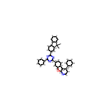 CC1(C)c2ccccc2-c2ccc(-c3nc(-c4ccccc4)nc(-c4ccc5c(c4)oc4nccc(-c6ccccc6)c45)n3)cc21